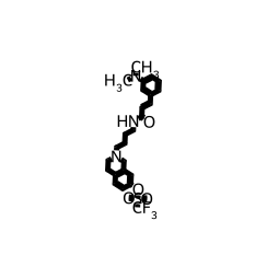 CN(C)c1cccc(/C=C/C(=O)NCCCCN2CCc3ccc(OS(=O)(=O)C(F)(F)F)cc3C2)c1